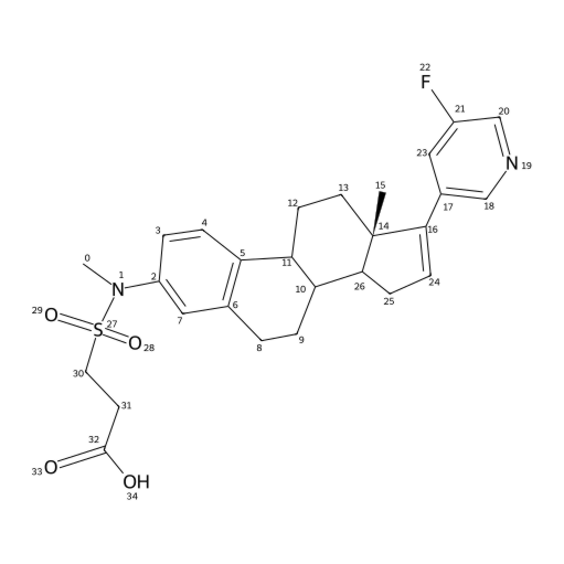 CN(c1ccc2c(c1)CCC1C2CC[C@]2(C)C(c3cncc(F)c3)=CCC12)S(=O)(=O)CCC(=O)O